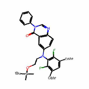 COc1cc(OC)c(F)c(N(CCO[Si](C)(C)C(C)(C)C)c2ccc3ncn(-c4ccccc4)c(=O)c3c2)c1F